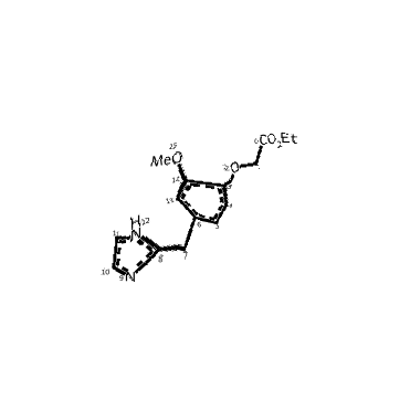 CCOC(=O)COc1ccc(Cc2ncc[nH]2)cc1OC